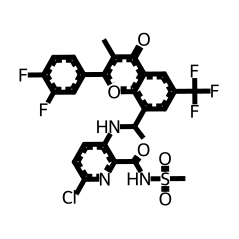 Cc1c(-c2ccc(F)c(F)c2)oc2c(C(C)Nc3ccc(Cl)nc3C(=O)NS(C)(=O)=O)cc(C(F)(F)F)cc2c1=O